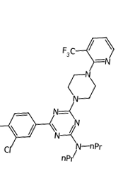 CCCN(CCC)c1nc(-c2ccc(F)c(Cl)c2)nc(N2CCN(c3ncccc3C(F)(F)F)CC2)n1